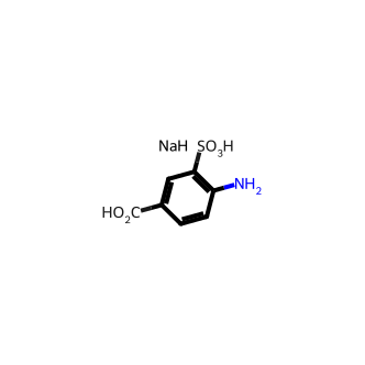 Nc1ccc(C(=O)O)cc1S(=O)(=O)O.[NaH]